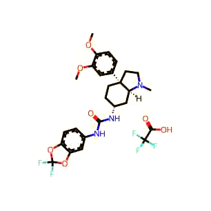 COc1ccc([C@@]23CC[C@@H](NC(=O)Nc4ccc5c(c4)OC(F)(F)O5)C[C@@H]2N(C)CC3)cc1OC.O=C(O)C(F)(F)F